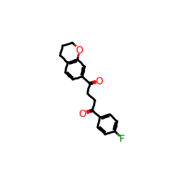 O=C(CCC(=O)c1ccc2c(c1)OCCC2)c1ccc(F)cc1